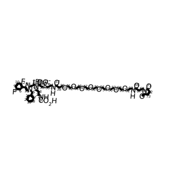 CC(C)(C)[C@H](c1nc(-c2cc(F)ccc2F)cn1Cc1ccccc1)N(CCCNC(=O)O)C(=O)C[S+]([O-])CCNC(=O)CCOCCOCCOCCOCCOCCOCCOCCOCCNC(=O)CCN1C(=O)C=CC1=O